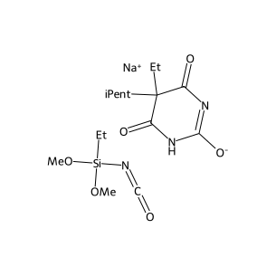 CCCC(C)C1(CC)C(=O)N=C([O-])NC1=O.CC[Si](N=C=O)(OC)OC.[Na+]